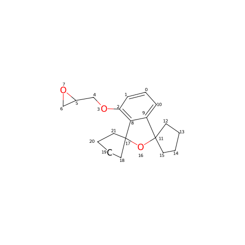 c1cc(OCC2CO2)c2c(c1)C1(CCCC1)OC21CCCC1